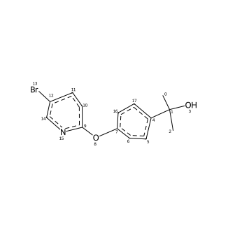 CC(C)(O)c1ccc(Oc2ccc(Br)cn2)cc1